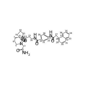 NC(=O)CN1CCC[C@]2(CCCN2C(=O)CCNC(=O)c2ccc(NC(=O)Cc3cccc4ccccc34)cc2)C1=O